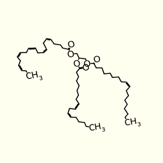 CC/C=C\C/C=C\C/C=C\C/C=C\C/C=C\CCCC(=O)OCC(COC(=O)CCCCCCC/C=C\CCCCCCCC)OC(=O)CCCCCCC/C=C\C/C=C\CCCCC